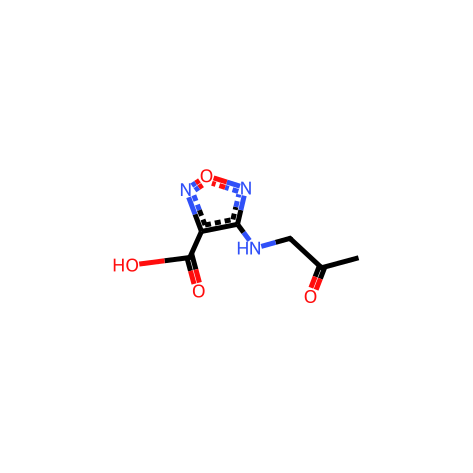 CC(=O)CNc1nonc1C(=O)O